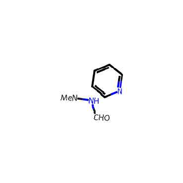 CNNC=O.c1ccncc1